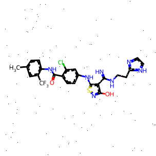 Cc1ccc(NC(=O)c2ccc(Nc3snc(O)c3C(=N)NCCc3ncc[nH]3)cc2Cl)c(C(F)(F)F)c1